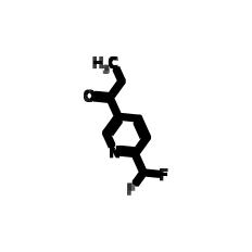 CCC(=O)c1ccc(C(F)F)nc1